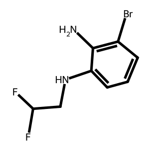 Nc1c(Br)cccc1NCC(F)F